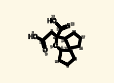 O=C(O)CC(OC1CCCC1)(C(O)=S)C1CCCC1